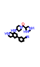 N#Cc1cccc(-c2cc3c(c(NC4CCN(C(=O)C5=CNCNC5)CC4)c2)CNC=C3)c1